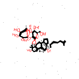 C=C(CCC=C(C)C)[C@H]1CC[C@]2(C)[C@@H]1[C@H](O)C[C@@H]1[C@@]3(C)CC[C@H](O)C(C)(C)[C@@H]3[C@@H](OC3O[C@H](CO)[C@@H](O)[C@H](O)[C@H]3O[C@H]3O[C@@H](C)[C@H](O)[C@@H](O)[C@@H]3O)C[C@]12C